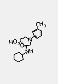 Cc1cccc(N(CC(=O)O)CC(=O)NC2CCCCC2)c1